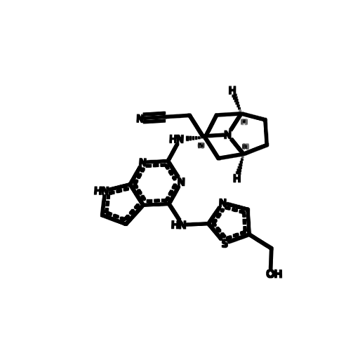 N#CCCN1[C@@H]2CC[C@H]1C[C@H](Nc1nc(Nc3ncc(CO)s3)c3cc[nH]c3n1)C2